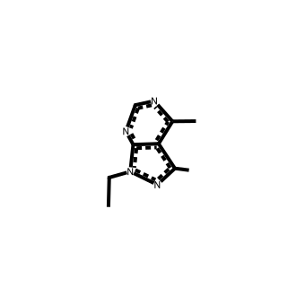 CCn1nc(C)c2c(C)ncnc21